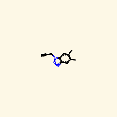 C#CCn1nnc2cc(C)c(C)cc21